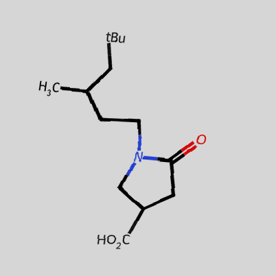 CC(CCN1CC(C(=O)O)CC1=O)CC(C)(C)C